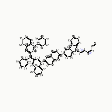 C=C/C=C\C=C\n1c2ccccc2c2cc(-c3ccc4cc(-c5cc6c(c7ccccc57)c5ccccc5n6-c5nc6c(c(-c7ccccc7)n5)C=CCC6)ccc4c3)ccc21